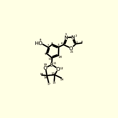 Cc1nnc(-c2cc(O)cc(B3OC(C)(C)C(C)(C)O3)c2)o1